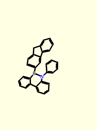 c1ccc(N2B(c3ccc4c(c3)-c3ccccc3C4)c3ccccc3-c3ccccc32)cc1